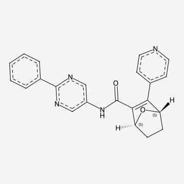 O=C(Nc1cnc(-c2ccccc2)nc1)C1=C(c2ccncc2)[C@@H]2CC[C@@H]1O2